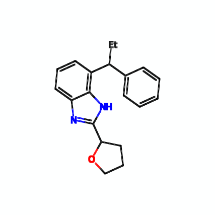 CCC(c1ccccc1)c1cccc2nc(C3CCCO3)[nH]c12